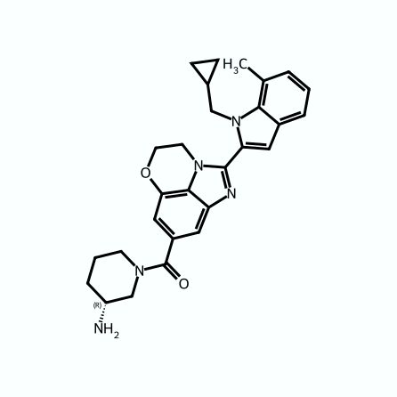 Cc1cccc2cc(-c3nc4cc(C(=O)N5CCC[C@@H](N)C5)cc5c4n3CCO5)n(CC3CC3)c12